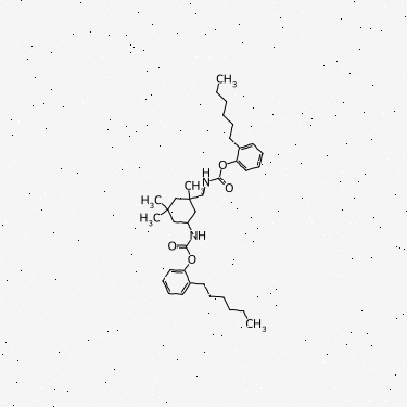 CCCCCCc1ccccc1OC(=O)NCC1(C)CC(NC(=O)Oc2ccccc2CCCCCC)CC(C)(C)C1